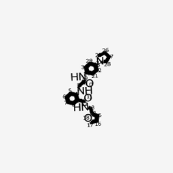 O=C(CNc1ccccc1C(=O)NCc1ccco1)Nc1ccc(N2CCCC2)cc1